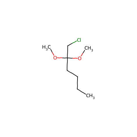 CCCCC(CCl)(OC)OC